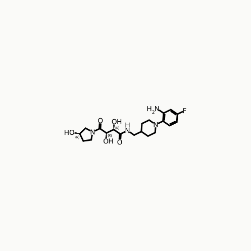 Nc1cc(F)ccc1N1CCC(CNC(=O)[C@H](O)[C@@H](O)C(=O)N2CC[C@@H](O)C2)CC1